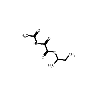 CCC(C)OC(=O)C(=O)NC(C)=O